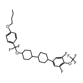 CCCCOc1ccc(C(F)(F)OC2CCC(C3CCC(c4cc(F)c(OC(F)(F)F)c(F)c4)CC3)CC2)cc1